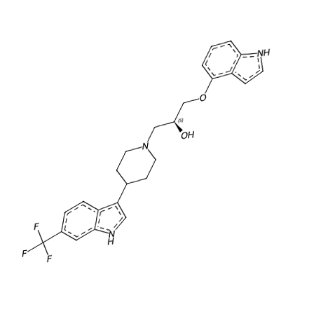 O[C@H](COc1cccc2[nH]ccc12)CN1CCC(c2c[nH]c3cc(C(F)(F)F)ccc23)CC1